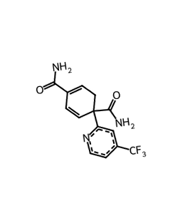 NC(=O)C1=CCC(C(N)=O)(c2cc(C(F)(F)F)ccn2)C=C1